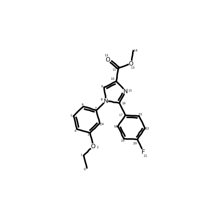 CCOc1cccc(-n2cc(C(=O)OC)nc2-c2ccc(F)cc2)c1